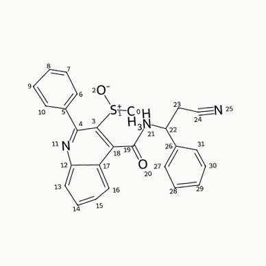 C[S+]([O-])c1c(-c2ccccc2)nc2ccccc2c1C(=O)NC(CC#N)c1ccccc1